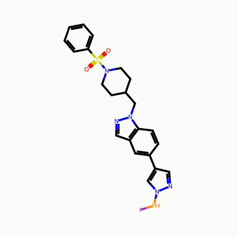 O=S(=O)(c1ccccc1)N1CCC(Cn2ncc3cc(-c4cnn(PI)c4)ccc32)CC1